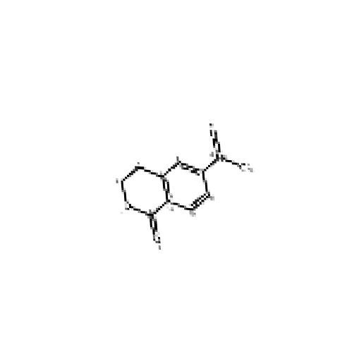 O=C1OC[CH]c2cc([N+](=O)[O-])ccc21